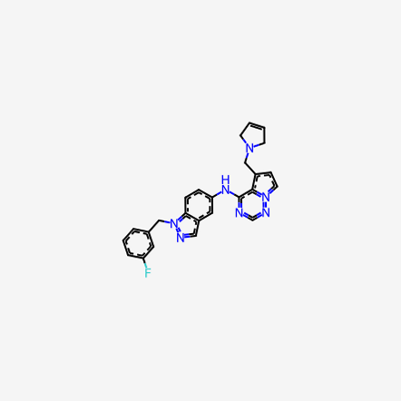 Fc1cccc(Cn2ncc3cc(Nc4ncnn5ccc(CN6CC=CC6)c45)ccc32)c1